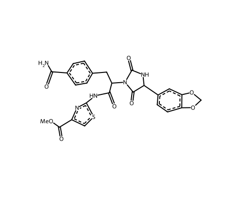 COC(=O)c1csc(NC(=O)C(Cc2ccc(C(N)=O)cc2)N2C(=O)NC(c3ccc4c(c3)OCO4)C2=O)n1